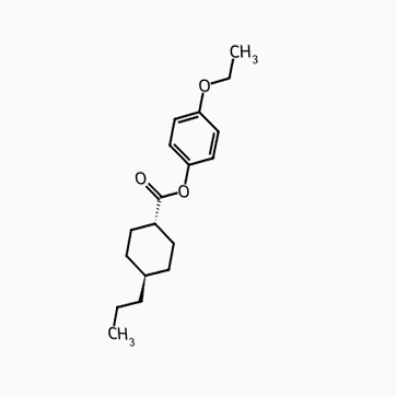 CCC[C@H]1CC[C@H](C(=O)Oc2ccc(OCC)cc2)CC1